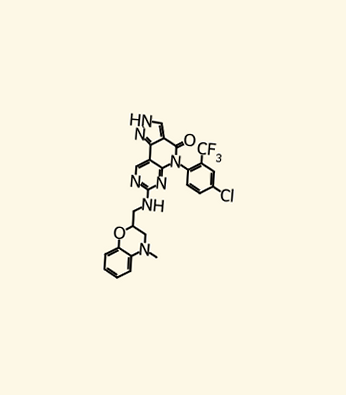 CN1CC(CNc2ncc3c4n[nH]cc4c(=O)n(-c4ccc(Cl)cc4C(F)(F)F)c3n2)Oc2ccccc21